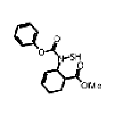 COC(=O)C1CCC=CC1N(S)C(=O)Oc1ccccc1